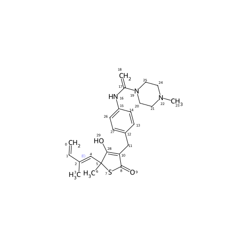 C=C/C(C)=C/C1(C)SC(=O)C(Cc2ccc(NC(=C)N3CCN(C)CC3)cc2)=C1O